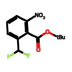 CC(C)(C)OC(=O)c1c(C(F)F)cccc1[N+](=O)[O-]